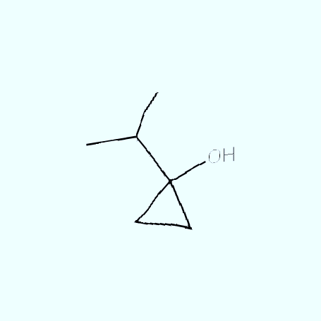 C[C](C)C1(O)CC1